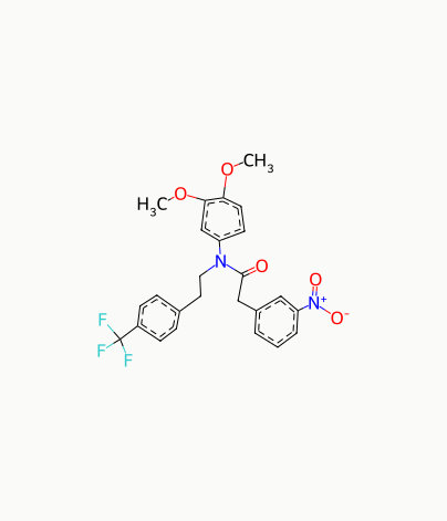 COc1ccc(N(CCc2ccc(C(F)(F)F)cc2)C(=O)Cc2cccc([N+](=O)[O-])c2)cc1OC